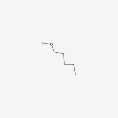 [C]OCCCCC